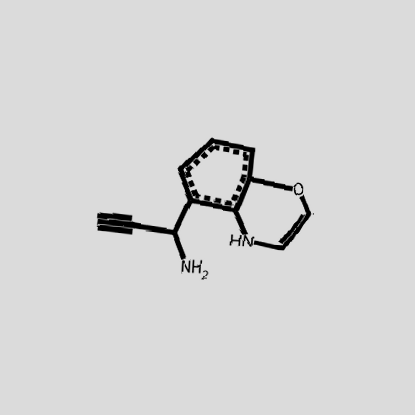 C#CC(N)c1cccc2c1NC=[C]O2